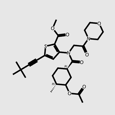 COC(=O)c1sc(C#CC(C)(C)C)cc1N(CC(=O)N1CCOCC1)C(=O)[C@@H]1CC[C@@H](C)C(OC(C)=O)C1